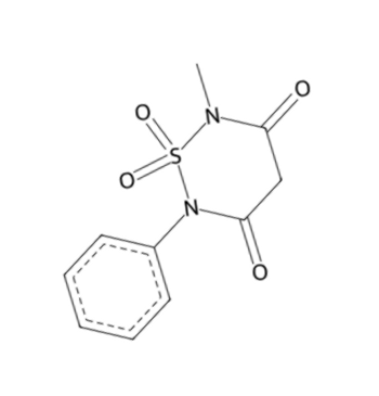 CN1C(=O)CC(=O)N(c2ccccc2)S1(=O)=O